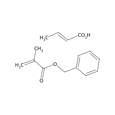 C=C(C)C(=O)OCc1ccccc1.CC=CC(=O)O